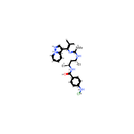 CC[C@@H](C[C@@H](CC)N/C(=N/C(=C(C)C)c1cnn2ccccc12)NC)NC(=O)c1ccc(NCl)cc1